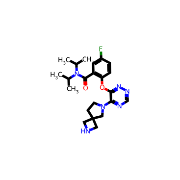 CC(C)N(C(=O)c1cc(F)ccc1Oc1nncnc1N1CCC2(CNC2)C1)C(C)C